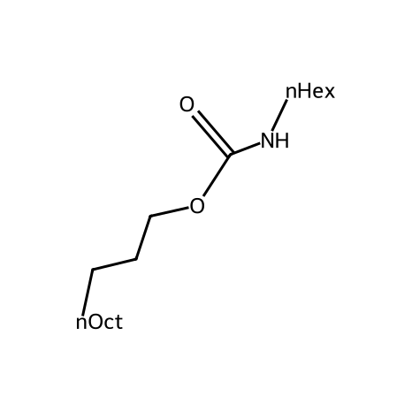 CCCCCCCCCCCOC(=O)NCCCCCC